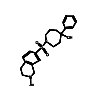 CC(=O)N1CCc2ccc(S(=O)(=O)N3CCCC(O)(c4ccccc4)CC3)cc2C1